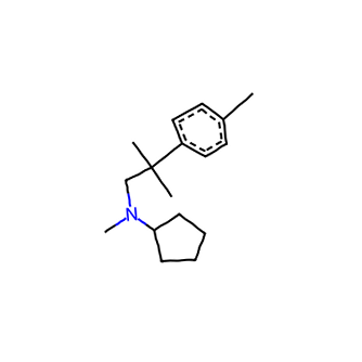 Cc1ccc(C(C)(C)CN(C)C2CCCC2)cc1